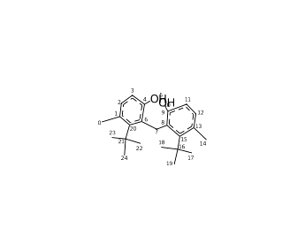 Cc1ccc(O)c(Cc2c(O)ccc(C)c2C(C)(C)C)c1C(C)(C)C